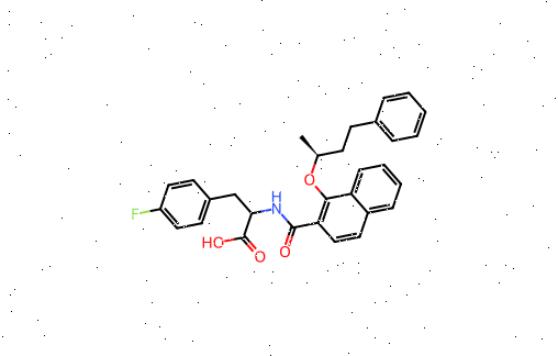 C[C@@H](CCc1ccccc1)Oc1c(C(=O)NC(Cc2ccc(F)cc2)C(=O)O)ccc2ccccc12